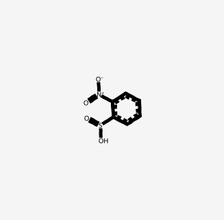 O=[N+]([O-])c1ccccc1S(=O)O